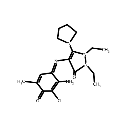 CCn1c(N2CCCC2)c(/N=C2/C=C(C)C(=O)C(Cl)=C2N)c(=O)n1CC